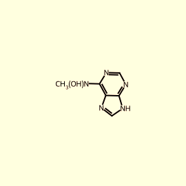 CN(O)c1ncnc2[nH]cnc12